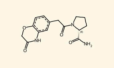 NC(=O)[C@H]1CCCN1C(=O)Cc1ccc2c(c1)NC(=O)CO2